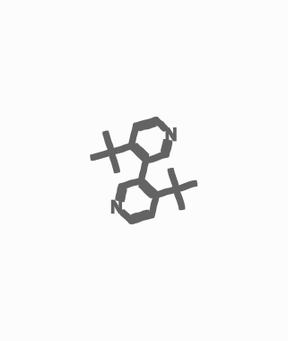 CC(C)(C)c1ccncc1-c1cnccc1C(C)(C)C